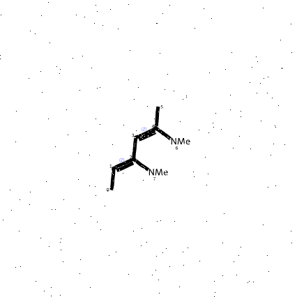 C/C=C(/C=C(/C)NC)NC